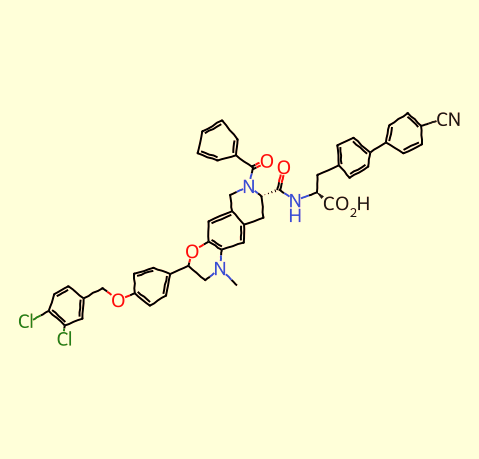 CN1CC(c2ccc(OCc3ccc(Cl)c(Cl)c3)cc2)Oc2cc3c(cc21)C[C@@H](C(=O)N[C@@H](Cc1ccc(-c2ccc(C#N)cc2)cc1)C(=O)O)N(C(=O)c1ccccc1)C3